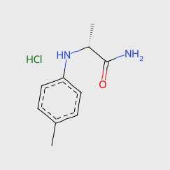 Cc1ccc(N[C@H](C)C(N)=O)cc1.Cl